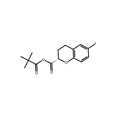 CC(C)(C)C(=O)OC(=O)[C@@H]1CCc2cc(F)ccc2O1